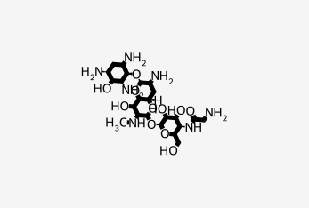 CNC1C(O[C@H]2OC(CO)[C@@H](NC(=O)CN)C(O)C2O)O[C@H]2CC(N)[C@@H](O[C@@H]3C(N)C[C@@H](N)C(O)[C@H]3N)OC2C1O